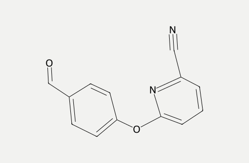 N#Cc1cccc(Oc2ccc(C=O)cc2)n1